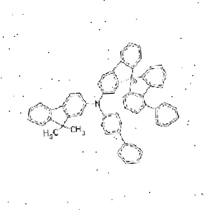 CC1(C)c2ccccc2-c2ccc(N(c3ccc(-c4ccccc4)cc3)c3ccc4c(c3)[C@]3(c5ccccc5-4)c4ccccc4-c4c(-c5ccccc5)cccc43)cc21